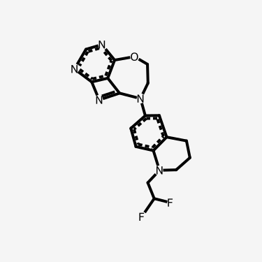 FC(F)CN1CCCc2cc(N3CCOc4ncnc5c4C3=N5)ccc21